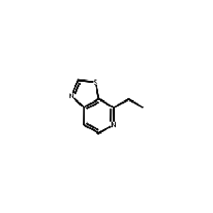 CCc1nccc2ncsc12